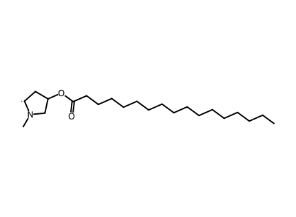 CCCCCCCCCCCCCCCCC(=O)OC1C[CH]N(C)C1